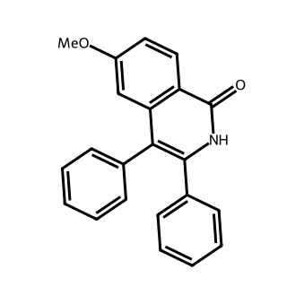 COc1ccc2c(=O)[nH]c(-c3ccccc3)c(-c3ccccc3)c2c1